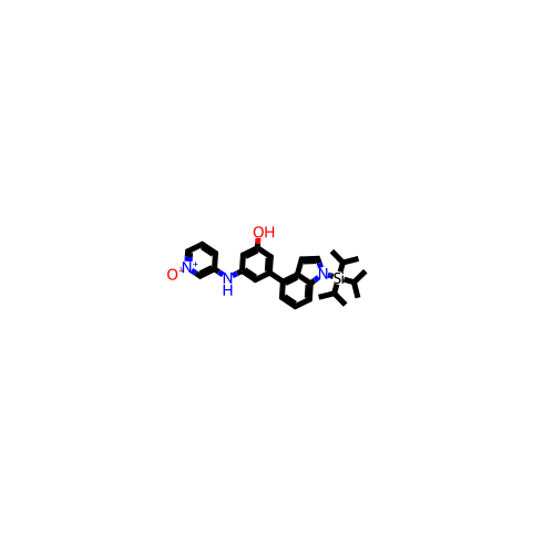 CC(C)[Si](C(C)C)(C(C)C)n1ccc2c(-c3cc(O)cc(Nc4ccc[n+]([O-])c4)c3)cccc21